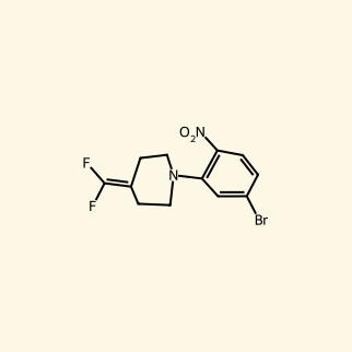 O=[N+]([O-])c1ccc(Br)cc1N1CCC(=C(F)F)CC1